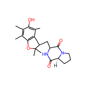 Cc1c(C)c2c(c(C)c1O)C(CC1NC(=O)[C@@H]3CCCN3C1=O)C(C)(C)O2